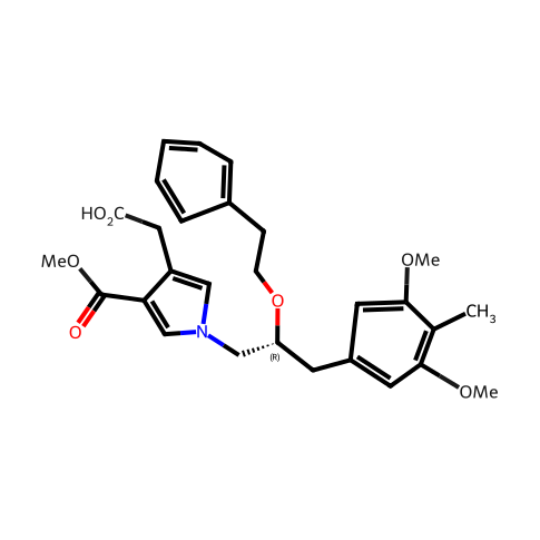 COC(=O)c1cn(C[C@@H](Cc2cc(OC)c(C)c(OC)c2)OCCc2ccccc2)cc1CC(=O)O